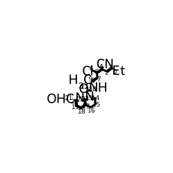 CC/C=C/C(C#N)=C(Cl)\C=C(/C)NC(=O)N1CCCc2ccc(C=O)nc21